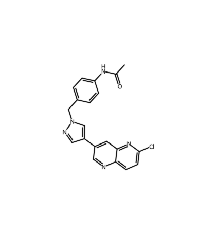 CC(=O)Nc1ccc(Cn2cc(-c3cnc4ccc(Cl)nc4c3)cn2)cc1